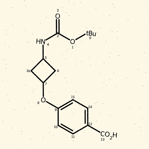 CC(C)(C)OC(=O)NC1CC(Oc2ccc(C(=O)O)cc2)C1